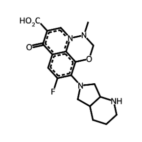 CN1COc2c(N3CC4CCCNC4C3)c(F)cc3c(=O)c(C(=O)O)cn1c23